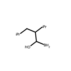 BC(O)C(CC(C)C)C(C)C